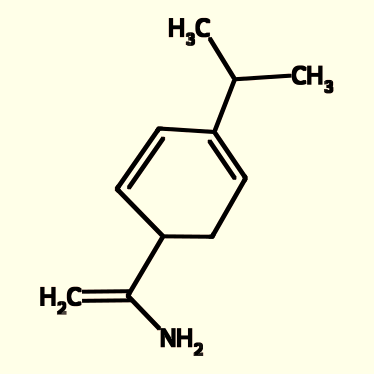 C=C(N)C1C=CC(C(C)C)=CC1